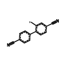 [CH]c1cc(C#N)ccc1-c1ccc(C#N)cc1